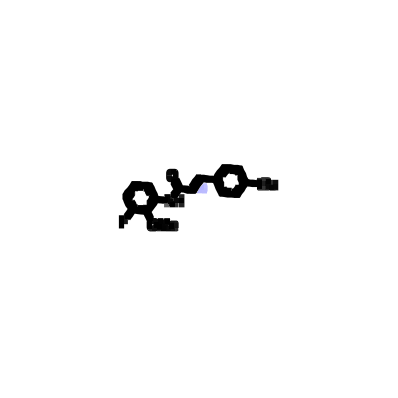 COc1c(F)cccc1NC(=O)/C=C/c1ccc(C(C)(C)C)cc1